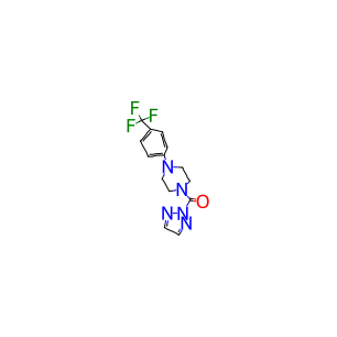 O=C(N1CCN(c2ccc(C(F)(F)F)cc2)CC1)n1nccn1